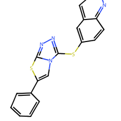 c1ccc(-c2cn3c(Sc4ccc5ncccc5c4)nnc3s2)cc1